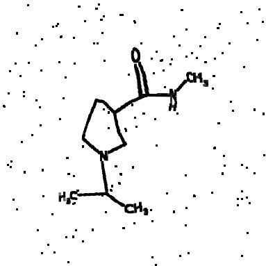 CNC(=O)C1CCN(C(C)C)C1